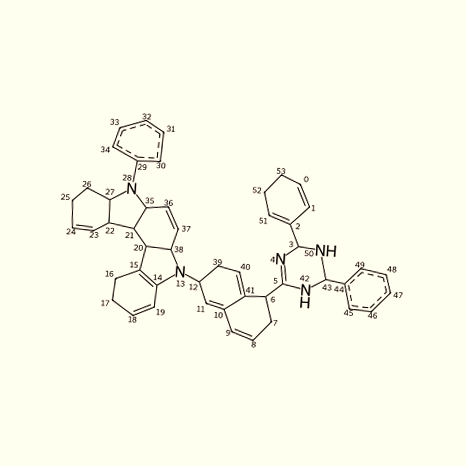 C1=CC(C2N=C(C3CC=CC4=CC(N5C6=C(CCC=C6)C6C7C8C=CCCC8N(c8ccccc8)C7C=CC65)CC=C43)NC(c3ccccc3)N2)=CCC1